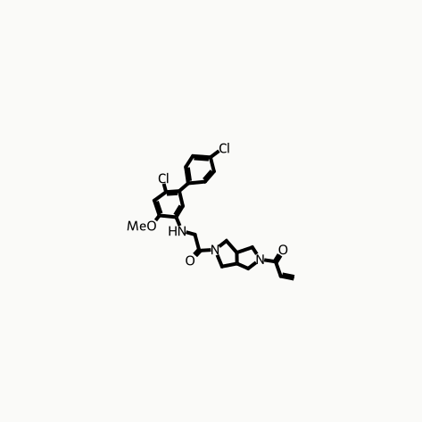 C=CC(=O)N1CC2CN(C(=O)CNc3cc(-c4ccc(Cl)cc4)c(Cl)cc3OC)CC2C1